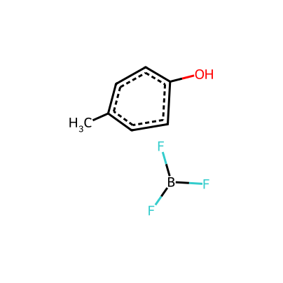 Cc1ccc(O)cc1.FB(F)F